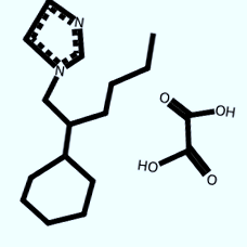 CCCCC(Cn1ccnc1)C1CCCCC1.O=C(O)C(=O)O